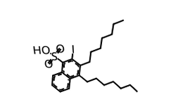 CCCCCCCc1c(I)c(S(=O)(=O)O)c2ccccc2c1CCCCCCC